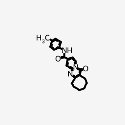 Cc1ccc(NC(=O)c2ccn3c(=O)c4c(nc3c2)CCCCCC4)cc1